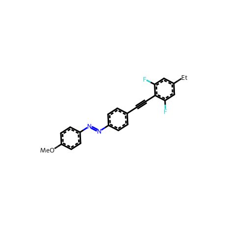 CCc1cc(F)c(C#Cc2ccc(N=Nc3ccc(OC)cc3)cc2)c(F)c1